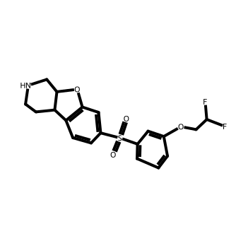 O=S(=O)(c1cccc(OCC(F)F)c1)c1ccc2c(c1)OC1CNCCC21